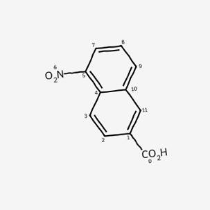 O=C(O)c1ccc2c([N+](=O)[O-])cccc2c1